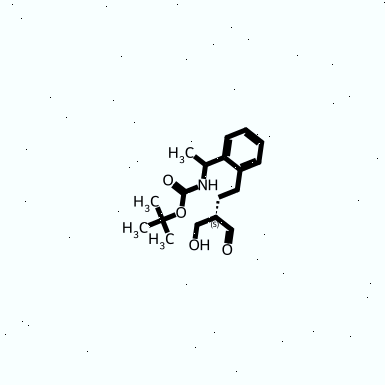 CC(NC(=O)OC(C)(C)C)c1ccccc1CC[C@H](C=O)CO